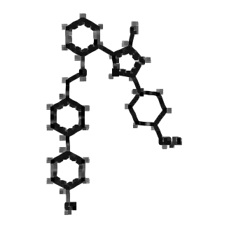 CCOC(=O)C1CCN(c2nc(-c3ccccc3OCc3ccc(-c4ccc(C#N)cc4)cc3)c(Cl)s2)CC1